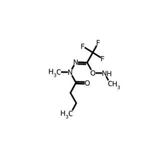 CCCC(=O)N(C)/N=C(\ONC)C(F)(F)F